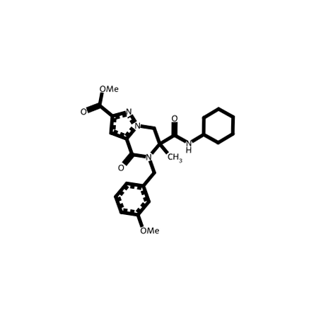 COC(=O)c1cc2n(n1)CC(C)(C(=O)NC1CCCCC1)N(Cc1cccc(OC)c1)C2=O